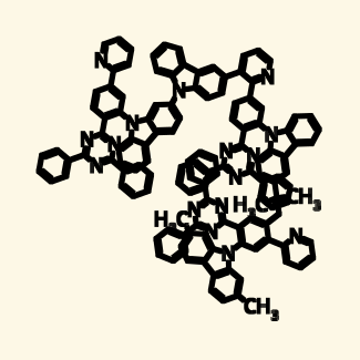 Cc1ccc2c3ccc(C)cc3n(-c3cc(-c4ccccn4)c(CC(C)(C)c4ccc5c(c4)c4ccccc4n5-c4cc(-c5ncccc5-c5ccc6c(c5)c5ccccc5n6-c5ccc6c7ccccc7n(-c7cc(-c8ccccn8)ccc7-c7nc(-c8ccccc8)nc(-c8ccccc8)n7)c6c5)ccc4-c4nc(-c5ccccc5)nc(-c5ccccc5)n4)cc3-c3nc(-c4ccccc4)nc(-c4ccccc4)n3)c2c1